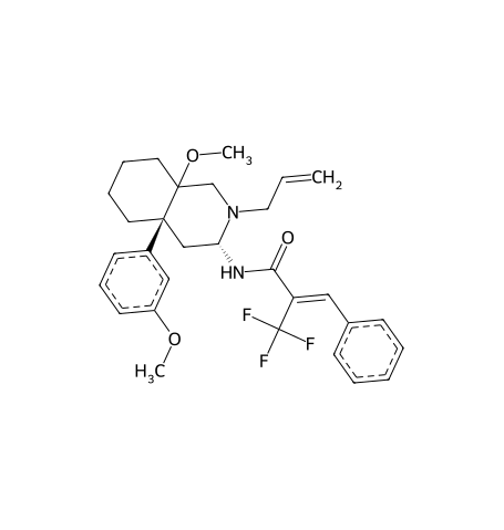 C=CCN1CC2(OC)CCCC[C@@]2(c2cccc(OC)c2)C[C@H]1NC(=O)C(=Cc1ccccc1)C(F)(F)F